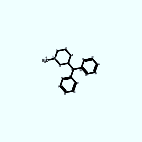 CN1CCCC(C(c2ccccc2)c2ccccc2)C1